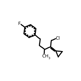 CC(CCc1ccc(F)cc1)C(CCl)=C1CC1